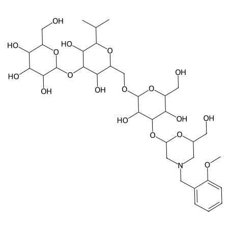 COc1ccccc1CN1CC(CO)OC(OC2C(O)C(CO)OC(OCC3OC(C(C)C)C(O)C(OC4OC(CO)C(O)C(O)C4O)C3O)C2O)C1